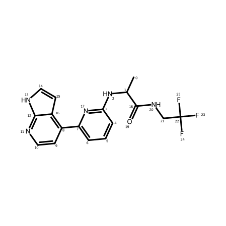 CC(Nc1cccc(-c2ccnc3[nH]ccc23)n1)C(=O)NCC(F)(F)F